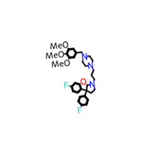 COc1cc(CN2CCN(CCCN3CCC(c4ccc(F)cc4)(c4ccc(F)cc4)C3=O)CC2)cc(OC)c1OC